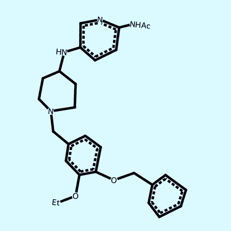 CCOc1cc(CN2CCC(Nc3ccc(NC(C)=O)nc3)CC2)ccc1OCc1ccccc1